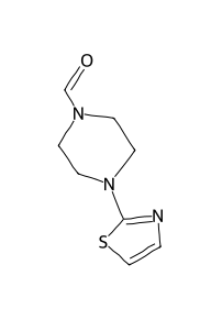 O=CN1CCN(c2nccs2)CC1